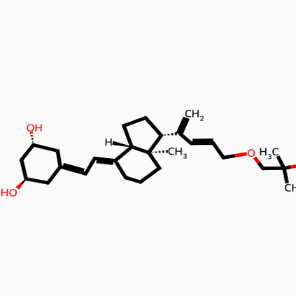 C=C(/C=C/COCC(C)(C)O)[C@H]1CC[C@H]2/C(=C/C=C3C[C@@H](O)C[C@H](O)C3)CCC[C@]12C